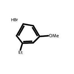 Br.CCc1cccc(OC)c1